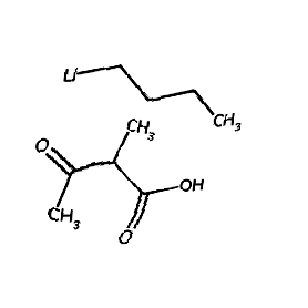 CC(=O)C(C)C(=O)O.[Li][CH2]CCC